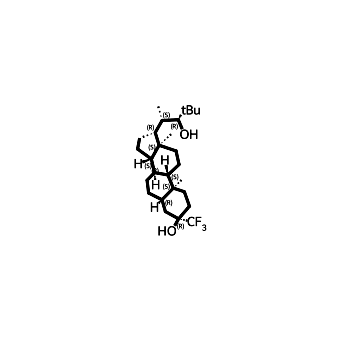 C[C@H]([C@@H](O)C(C)(C)C)[C@H]1CC[C@H]2[C@@H]3CC[C@@H]4C[C@@](O)(C(F)(F)F)CC[C@]4(C)[C@H]3CC[C@]12C